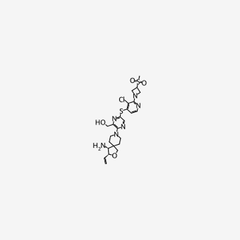 C=C[C@@H]1OCC2(CCN(c3ncc(Sc4ccnc(N5CC(S(C)(=O)=O)C5)c4Cl)nc3CO)CC2)[C@@H]1N